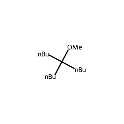 CCCCC(CCCC)(CCCC)OC